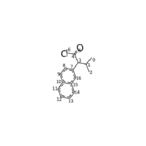 CC(C)C(C(=O)Cl)c1ccc2ccccc2c1